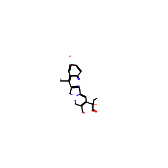 CCc1c2c(nc3ccc(OI)cc13)C1=CC3=C(COC(=O)[C@@]3(O)CC)C(O)N1C2